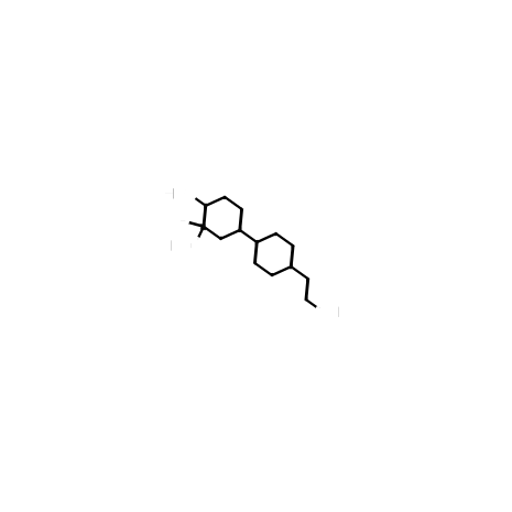 CCCC1CCC(C2CCC(C)C(C)(F)C2)CC1